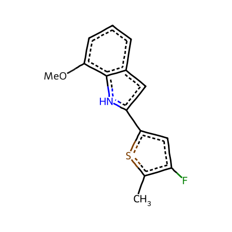 COc1cccc2cc(-c3cc(F)c(C)s3)[nH]c12